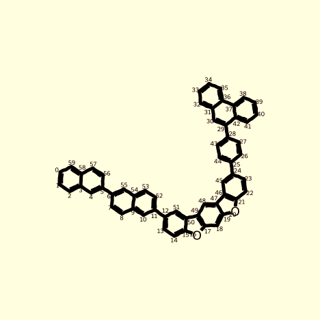 c1ccc2cc(-c3ccc4cc(-c5ccc6oc7cc8oc9ccc(-c%10ccc(-c%11cc%12ccccc%12c%12ccccc%11%12)cc%10)cc9c8cc7c6c5)ccc4c3)ccc2c1